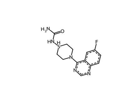 NC(=O)N[SH]1CCN(c2ncnc3ccc(F)cc23)CC1